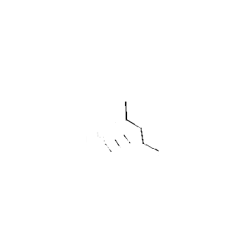 CCCCC.CN.CN.CN